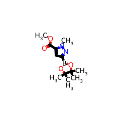 COC(=O)c1cc(B2OC(C)(C)C(C)(C)O2)nn1C